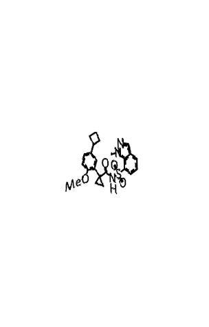 COc1ccc(C2CCC2)cc1C1(C(=O)NS(=O)(=O)c2cccc3cnn(C)c23)CC1